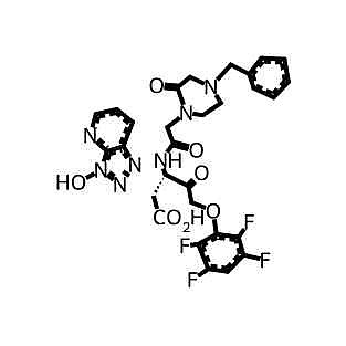 O=C(O)C[C@H](NC(=O)CN1CCN(Cc2ccccc2)CC1=O)C(=O)COc1c(F)c(F)cc(F)c1F.On1nnc2cccnc21